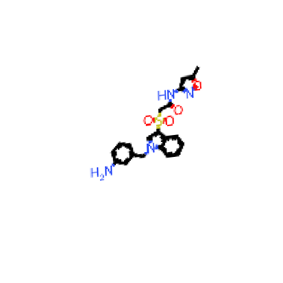 Cc1cc(NC(=O)CS(=O)(=O)c2cn(Cc3cccc(N)c3)c3ccccc23)no1